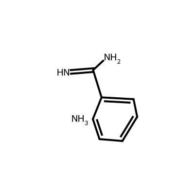 N.N=C(N)c1ccccc1